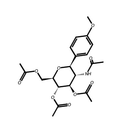 COc1ccc([C@@H]2O[C@H](COC(C)=O)[C@@H](OC(C)=O)[C@H](OC(C)=O)[C@H]2NC(C)=O)cc1